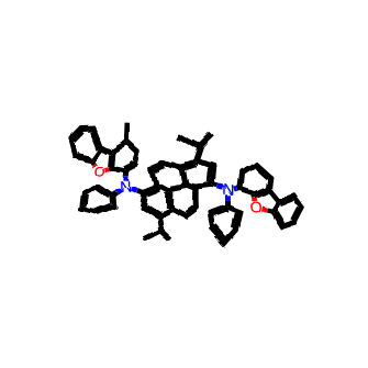 CC(C)C1=C2C=Cc3c(N(C4=CCC(C)c5c4oc4ccccc54)c4ccccc4)cc(C(C)C)c4c3C2C(C)(C=C4)C(N(c2ccccc2)C2CC=Cc3c2oc2ccccc32)=C1